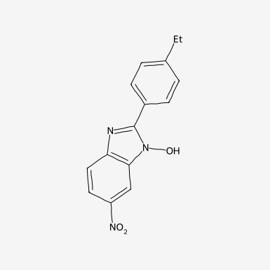 CCc1ccc(-c2nc3ccc([N+](=O)[O-])cc3n2O)cc1